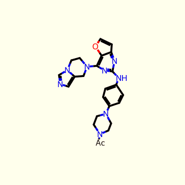 CC(=O)N1CCN(c2ccc(Nc3nc(N4CCn5cncc5C4)c4occc4n3)cc2)CC1